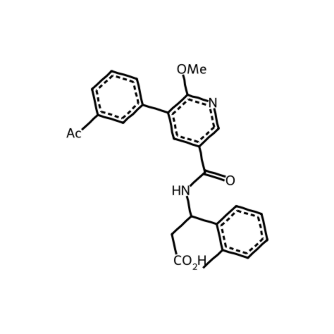 COc1ncc(C(=O)NC(CC(=O)O)c2ccccc2C)cc1-c1cccc(C(C)=O)c1